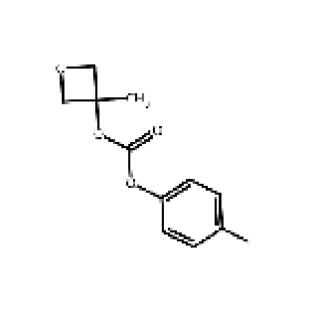 CC1(OC(=O)Oc2ccc(F)cc2)COC1